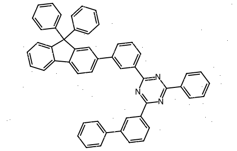 c1ccc(-c2cccc(-c3nc(-c4ccccc4)nc(-c4cccc(-c5ccc6c(c5)C(c5ccccc5)(c5ccccc5)c5ccccc5-6)c4)n3)c2)cc1